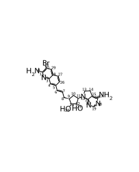 Nc1nc2cc(/C=C/C[C@H]3C[C@@H](N4CCc5c(N)ncnc54)[C@H](O)[C@@H]3O)ccc2cc1Br